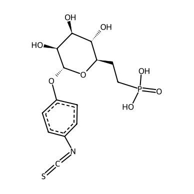 O=P(O)(O)CC[C@H]1O[C@H](Oc2ccc(N=C=S)cc2)[C@@H](O)[C@@H](O)[C@@H]1O